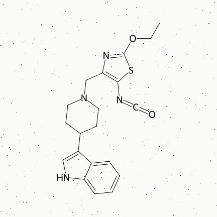 CCOc1nc(CN2CCC(c3c[nH]c4ccccc34)CC2)c(N=C=O)s1